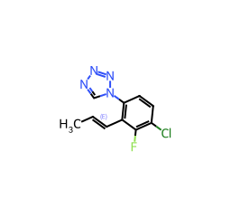 C/C=C/c1c(-n2cnnn2)ccc(Cl)c1F